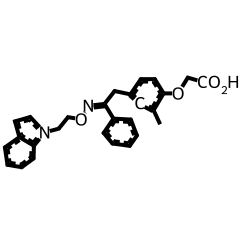 Cc1cc(CC(=NOCCn2ccc3ccccc32)c2ccccc2)ccc1OCC(=O)O